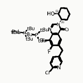 CC(C)(C)P(C(C)(C)C)C(C)(C)C.CC(C)(C)P(C(C)(C)C)C(C)(C)C.O=c1c2cc(Cc3ccc(Cl)nc3)c(F)c(F)c2ncn1[C@H]1CCCC[C@@H]1O.[Pd]